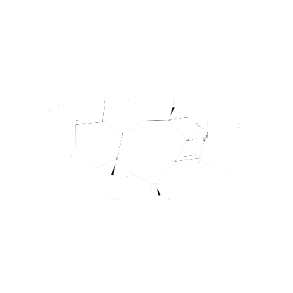 CC(=O)O[C@H]1C[C@H]2C[C@@H]3C(C)[C@@H](OC(C)=O)CC[C@@]3(C)[C@@H](OC(C)=O)[C@H](OC(C)=O)C(=C1C)C2(C)C